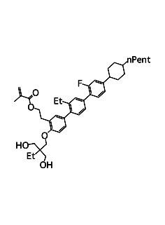 C=C(C)C(=O)OCCc1cc(-c2ccc(-c3ccc(C4CCC(CCCCC)CC4)cc3F)cc2CC)ccc1OCC(CC)(CO)CO